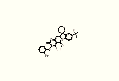 O=c1oc2cc3n(c(=O)c2c(O)c1Sc1ccccc1Br)-c1ccc(C(F)(F)F)cc1C31CCCCC1